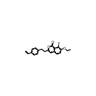 C=Cc1ccc(CCc2cc3ccc(OCC)c(F)c3c(=O)o2)cc1